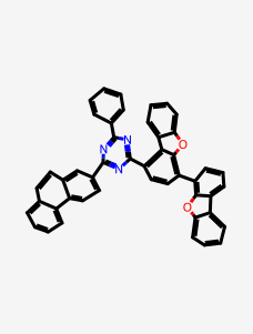 c1ccc(-c2nc(-c3ccc4c(ccc5ccccc54)c3)nc(-c3ccc(-c4cccc5c4oc4ccccc45)c4oc5ccccc5c34)n2)cc1